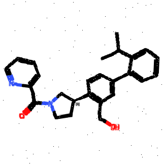 CC(C)c1ccccc1-c1ccc([C@H]2CCN(C(=O)c3ccccn3)C2)c(CO)c1